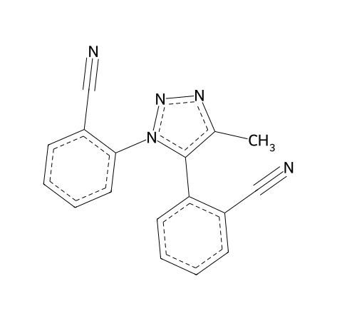 Cc1nnn(-c2ccccc2C#N)c1-c1ccccc1C#N